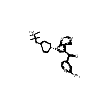 CC(C)(C[C@H]1CC[C@H](n2cc(C(=O)c3ccnc(N)c3)c3cncnc32)CC1)[Si](C)(C)O